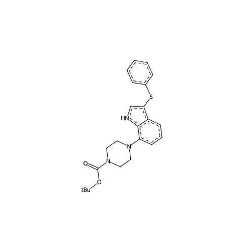 CC(C)(C)OC(=O)N1CCN(c2cccc3c(Sc4ccccc4)c[nH]c23)CC1